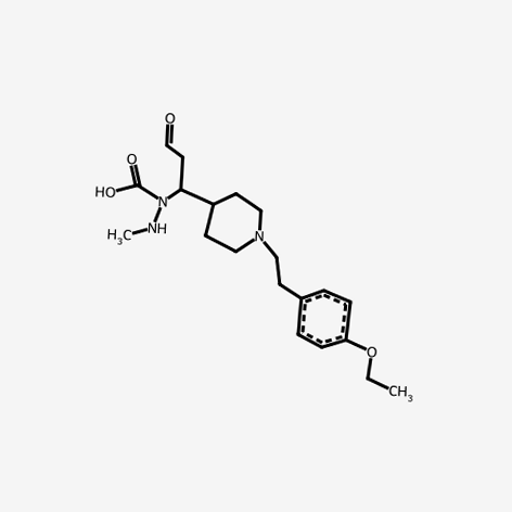 CCOc1ccc(CCN2CCC(C(CC=O)N(NC)C(=O)O)CC2)cc1